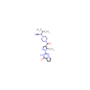 Cc1c(C(=O)N2CCN(C(C#N)C(C)C)CC2)cnn1-c1nn2cccc2c(=O)[nH]1